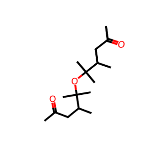 CC(=O)CC(C)C(C)(C)OC(C)(C)C(C)CC(C)=O